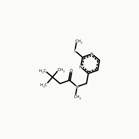 CSc1nccc(CN(C)C(=O)CC(C)(C)C)n1